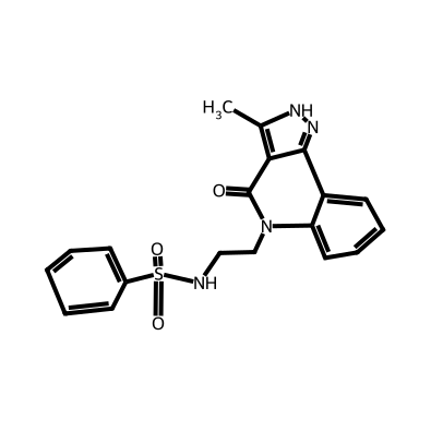 Cc1[nH]nc2c1c(=O)n(CCNS(=O)(=O)c1ccccc1)c1ccccc21